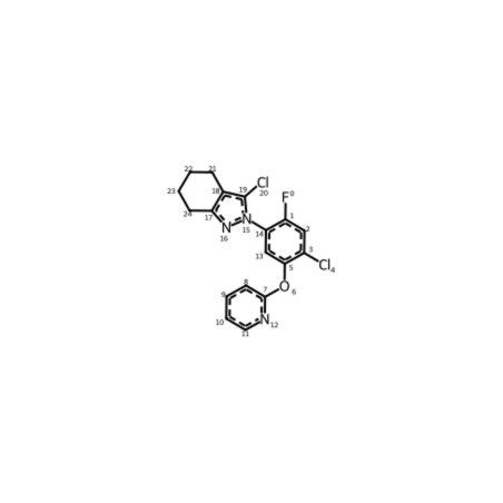 Fc1cc(Cl)c(Oc2ccccn2)cc1-n1nc2c(c1Cl)CCCC2